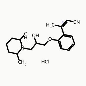 C/C(=C/C#N)c1ccccc1OCC(O)CN1C(C)CCCC1C.Cl